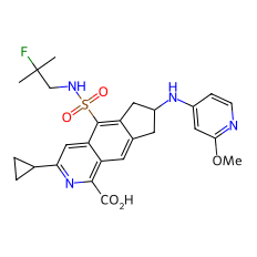 COc1cc(NC2Cc3cc4c(C(=O)O)nc(C5CC5)cc4c(S(=O)(=O)NCC(C)(C)F)c3C2)ccn1